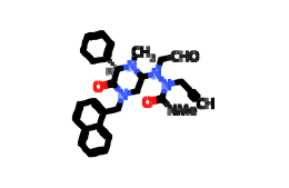 C#CCN(C(=O)NC)N(CC=O)C1CN(Cc2cccc3ccccc23)C(=O)[C@H](C2=CC=CCC2)N1C